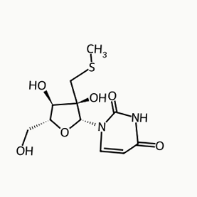 CSC[C@@]1(O)[C@H](O)[C@@H](CO)O[C@H]1n1ccc(=O)[nH]c1=O